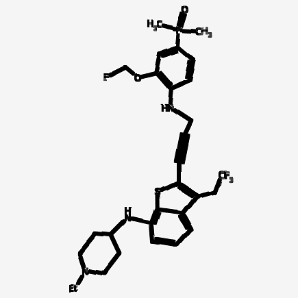 CCN1CCC(Nc2cccc3c(CC(F)(F)F)c(C#CCNc4ccc(P(C)(C)=O)cc4OCF)sc23)CC1